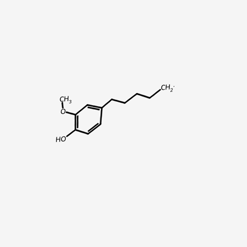 [CH2]CCCCc1ccc(O)c(OC)c1